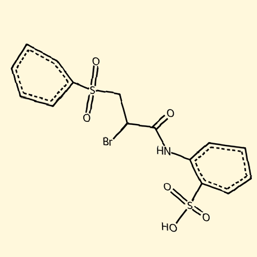 O=C(Nc1ccccc1S(=O)(=O)O)C(Br)CS(=O)(=O)c1ccccc1